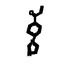 C=CC(=O)c1ccc(-n2ccnc2)cc1